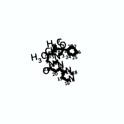 COC(CN1CC(C)(C)Cn2c1nc(-c1ccncn1)cc2=O)(c1ccccc1)C1CC1